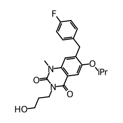 CC(C)Oc1cc2c(=O)n(CCCO)c(=O)n(C)c2cc1Cc1ccc(F)cc1